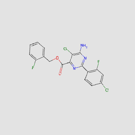 Nc1nc(-c2ccc(Cl)cc2F)nc(C(=O)OCc2ccccc2F)c1Cl